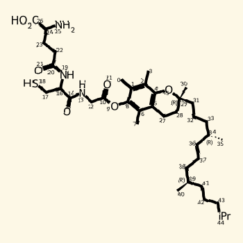 Cc1c(C)c2c(c(C)c1OC(=O)CNC(=O)C(CS)NC(=O)CCC(N)C(=O)O)CC[C@@](C)(CCC[C@H](C)CCC[C@H](C)CCCC(C)C)O2